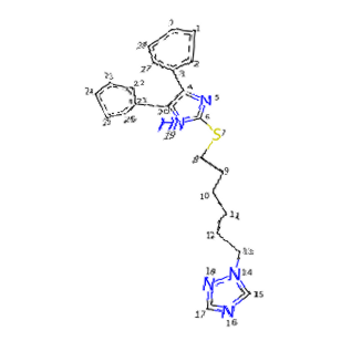 c1ccc(-c2nc(SCCCCCCn3cncn3)[nH]c2-c2ccccc2)cc1